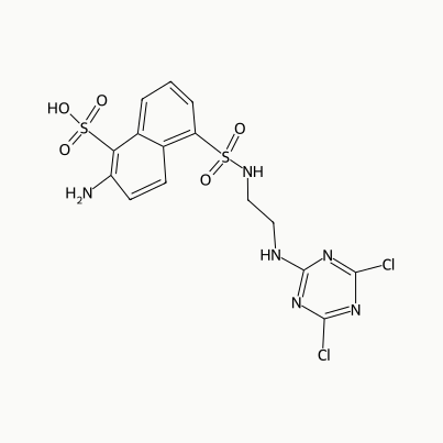 Nc1ccc2c(S(=O)(=O)NCCNc3nc(Cl)nc(Cl)n3)cccc2c1S(=O)(=O)O